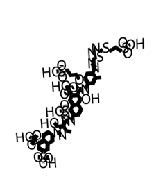 Cc1cc(N=Nc2c(S(=O)(=O)O)cc3c(S(=O)(=O)O)c(N=Nc4c(C)nn(-c5ccc6c(S(=O)(=O)O)cc(S(=O)(=O)O)cc6c5)c4O)ccc3c2O)c(OCCCS(=O)(=O)O)cc1N=Nc1nnc(SCCCS(=O)(=O)O)s1